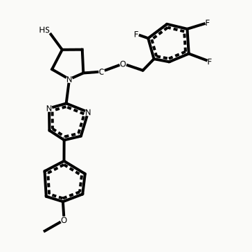 COc1ccc(-c2cnc(N3CC(S)CC3COCc3cc(F)c(F)cc3F)nc2)cc1